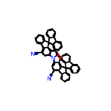 N#Cc1cc2c(c3c1-c1ccccc1C31c3ccccc3-c3ccccc31)c1cccc3c4c5c(c(C#N)cc4n2c13)-c1ccccc1C51c2ccccc2-c2ccccc21